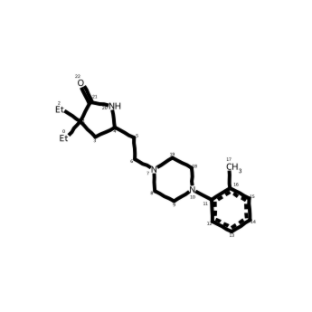 CCC1(CC)CC(CCN2CCN(c3ccccc3C)CC2)NC1=O